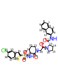 O=C(Nc1ccc2ccccc2c1)[C@@H]1CCCN1C(=O)CN1CCC[C@H](NS(=O)(=O)c2cc3cc(Cl)ccc3s2)C1=O